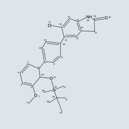 COC1=CC=CC(c2ccc(-c3cc4c(cc3Cl)NC(=O)C4)cc2)C1O[Si](C)(C)C(C)(C)C